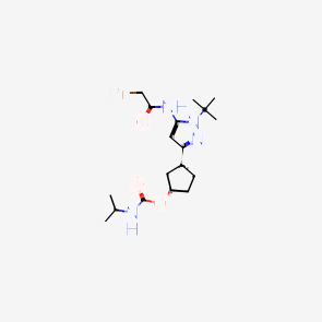 CC(C)NC(=O)O[C@@H]1CC[C@H](c2cc(NC(=O)CBr)n(C(C)(C)C)n2)C1